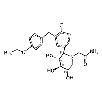 CCOc1ccc(Cc2cc([C@@H]3[C@@H](O)[C@H](O)[C@H](O)CN3CC(N)=O)ccc2Cl)cc1